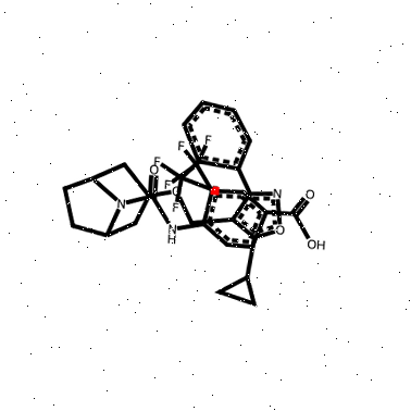 O=C(O)c1ccc(NC(=O)N2C3CCC2CC(OCc2c(-c4ccccc4C(F)(F)F)noc2C2CC2)C3)c(C(F)(F)F)c1